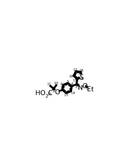 CCO/N=C(/c1ccc(OC(C)(C)C(=O)O)cc1)c1cccs1